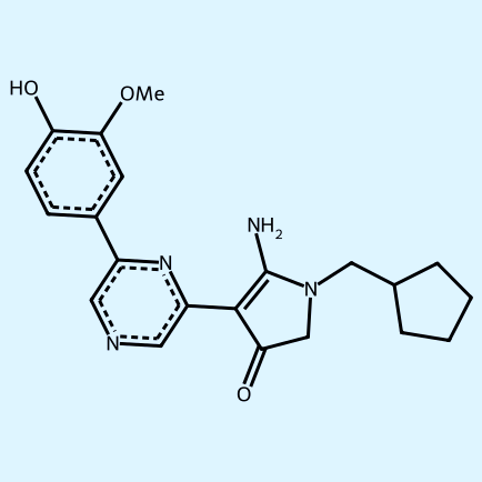 COc1cc(-c2cncc(C3=C(N)N(CC4CCCC4)CC3=O)n2)ccc1O